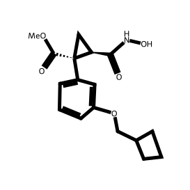 COC(=O)[C@]1(c2cccc(OCC3CCC3)c2)C[C@H]1C(=O)NO